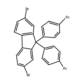 CC(=O)c1ccc(C2(c3ccc(C(C)=O)cc3)c3cc(Br)ccc3-c3ccc(Br)cc32)cc1